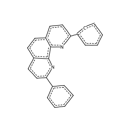 [c]1cccc(-c2ccc3ccc4ccc(-c5ccccc5)nc4c3n2)c1